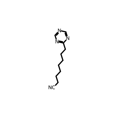 N#CCCCCCCCc1ncncn1